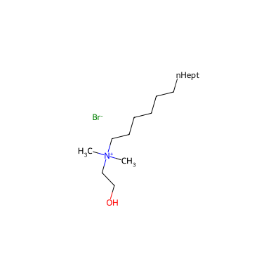 CCCCCCCCCCCCC[N+](C)(C)CCO.[Br-]